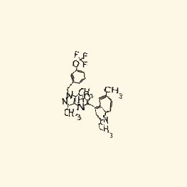 Cc1ccc2nc(C)cc(C(=O)Nc3c(C)nn(Cc4cccc(OC(F)(F)F)c4)c3C)c2c1